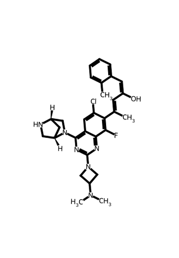 C/C(=C\C(O)=C/c1ccccc1C)c1c(Cl)cc2c(N3C[C@@H]4C[C@H]3CN4)nc(N3CC(N(C)C)C3)nc2c1F